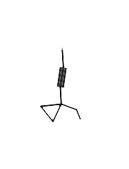 [O]CC1(C#CBr)CC1